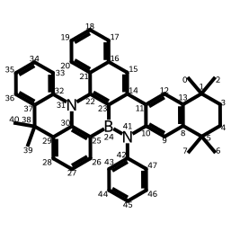 CC1(C)CCC(C)(C)c2cc3c(cc21)-c1cc2ccccc2c2c1B(c1cccc4c1N2c1ccccc1C4(C)C)N3c1ccccc1